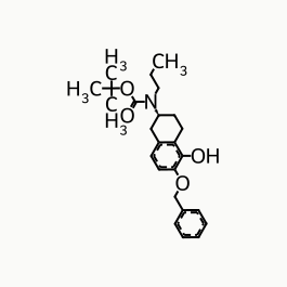 CCCN(C(=O)OC(C)(C)C)[C@H]1CCc2c(ccc(OCc3ccccc3)c2O)C1